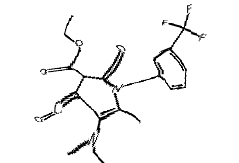 CCOC(=O)C1C(=O)N(c2cccc(C(F)(F)F)c2)C(C)=C(N(C)C)C1=C=O